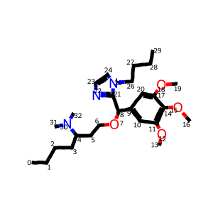 CCCCC(CCOC(c1cc(OC)c(OC)c(OC)c1)c1nccn1CCCC)N(C)C